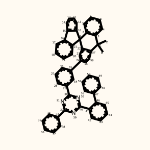 CC1(C)c2ccccc2C2(c3ccccc3-c3ccccc32)c2cc(-c3cccc(-c4nc(-c5ccccc5)nc(-c5ccccc5-c5ccccc5)n4)c3)ccc21